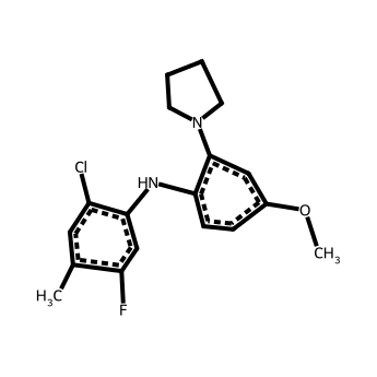 COc1ccc(Nc2cc(F)c(C)cc2Cl)c(N2CCCC2)c1